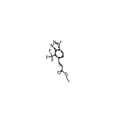 CCOC(=O)/C=C/c1ccc2c(nnn2C)c1C(F)(F)F